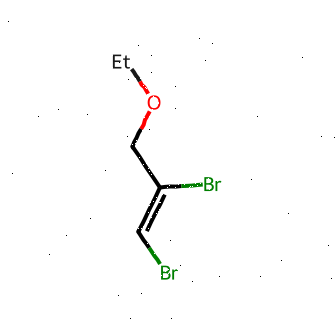 [CH2]COCC(Br)=CBr